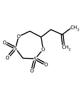 C=C(C)CC1COS(=O)(=O)CS(=O)(=O)O1